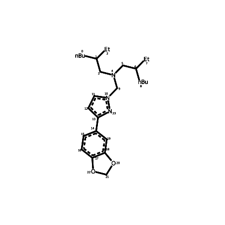 CCCCC(CC)CN(CC(CC)CCCC)Cn1ccc(-c2ccc3c(c2)OCO3)n1